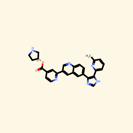 Cc1cccc(-c2[nH]cnc2-c2ccc3ncc(-c4cc(C(=O)O[C@@H]5CCNC5)ccn4)cc3c2)n1